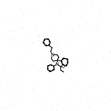 CCC(=O)N(c1ccccc1)C1(c2ccccc2)CCN(CCc2ccccc2)CC1